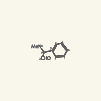 CN[C](C=O)c1ccccc1